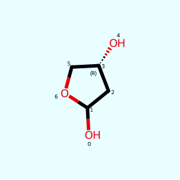 OC1C[C@@H](O)CO1